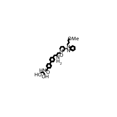 COCCCn1c([C@@H]2CCCN(C(=O)C[C@H](N)Cc3ccc(-c4ccc(C(=O)NC(CO)CO)cc4)cc3)C2)nc2ccccc21